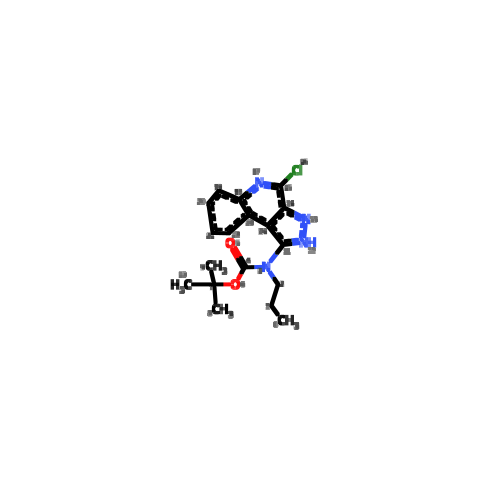 CCCN(C(=O)OC(C)(C)C)c1[nH]nc2c(Cl)nc3ccccc3c12